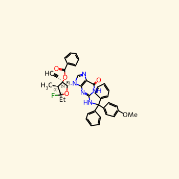 C#C[C@]1(OC(=O)c2ccccc2)[C@H](n2cnc3c(=O)[nH]c(NC(c4ccccc4)(c4ccccc4)c4ccc(OC)cc4)nc32)O[C@](F)(CC)[C@H]1C